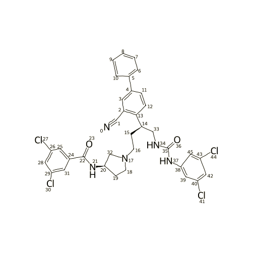 N#Cc1cc(-c2ccccc2)ccc1[C@H](CCN1CC[C@@H](NC(=O)c2cc(Cl)cc(Cl)c2)C1)CNC(=O)Nc1cc(Cl)cc(Cl)c1